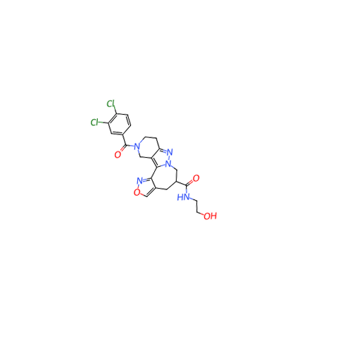 O=C(NCCO)C1Cc2conc2-c2c3c(nn2C1)CCN(C(=O)c1ccc(Cl)c(Cl)c1)C3